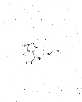 C=C/C=C/N=C(/N)c1nc[nH]c1C